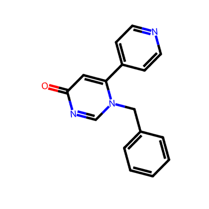 O=c1cc(-c2ccncc2)n(Cc2ccccc2)cn1